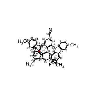 Cc1ccc2c(c1)c1cc(C)ccc1n2-c1cc(C#N)cc(-n2c3ccc(C)cc3c3cc(C)ccc32)c1-c1cc(C(F)(F)F)ccc1C(F)(F)F